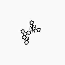 c1ccc(-c2nc(-c3ccccc3)nc(-c3ccc4c(c3)c3ccccc3c3ccc5c6ccccc6oc5c34)n2)cc1